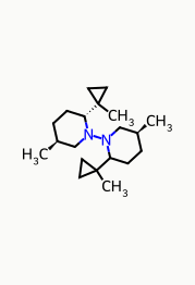 C[C@H]1CCC(C2(C)CC2)N(N2C[C@@H](C)CC[C@@H]2C2(C)CC2)C1